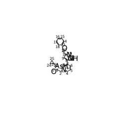 O=C(C[n+]1cccc(-c2cc(COc3ccccc3)n[nH]2)c1)[AsH]C1CC1.[Cl-]